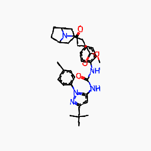 COC(=O)CCC(=O)N1C2CCC1CC(Cc1ccc(NC(=O)Nc3cc(C(C)(C)C)nn3-c3ccc(C)cc3)cc1)C2